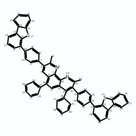 Cc1nc2c(cc1-c1ccc(-c3cccc4c3sc3ccccc34)cc1)c(-c1ccccc1)cc1c(-c3ccccc3)c(-c3ccc(-c4cccc5c4sc4ccccc45)cc3)c(C)nc12